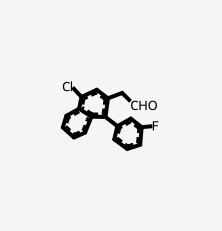 O=CCc1cc(Cl)c2ccccc2c1-c1cccc(F)c1